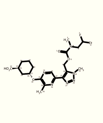 CCC(F)CN(C)C(=O)OCc1c(-c2cnc(O[C@H]3CCC[C@H](C(=O)O)C3)c(C)n2)nnn1C